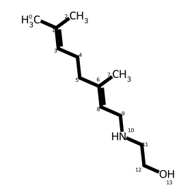 CC(C)=CCC/C(C)=C/CNCCO